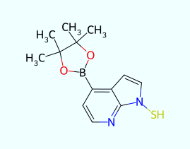 CC1(C)OB(c2ccnc3c2ccn3S)OC1(C)C